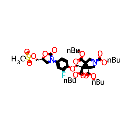 CCCCOC(=O)N1CC2(C(=O)OCCCC)[C@@](C(=O)OCCCC)(C1)[C@]2(COc1ccc(N2C[C@H](COS(C)(=O)=O)OC2=O)cc1F)C(=O)OCCCC